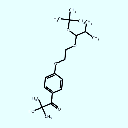 CC(C)C(OCCOc1ccc(C(=O)C(C)(C)O)cc1)OC(C)(C)C